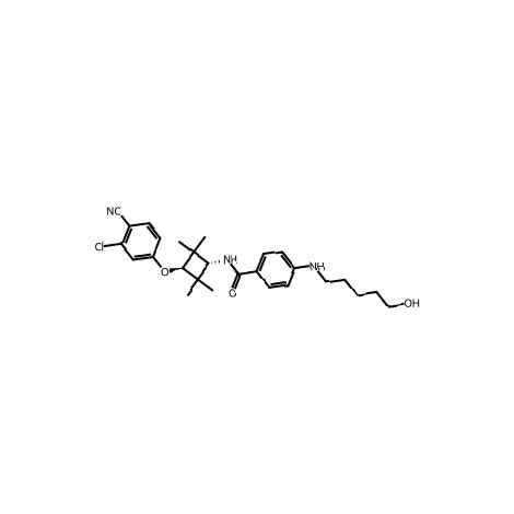 CC1(C)[C@H](NC(=O)c2ccc(NCCCCCO)cc2)C(C)(C)[C@H]1Oc1ccc(C#N)c(Cl)c1